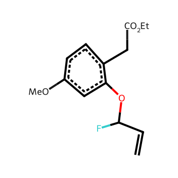 C=CC(F)Oc1cc(OC)ccc1CC(=O)OCC